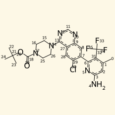 Cc1cc(N)nc(-c2cc3ncnc(N4CCN(C(=O)OC(C)(C)C)CC4)c3cc2Cl)c1C(F)(F)F